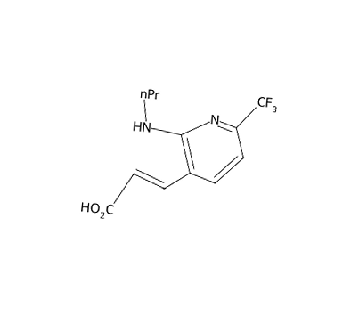 CCCNc1nc(C(F)(F)F)ccc1/C=C/C(=O)O